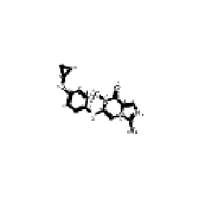 CC(C)c1ncc2c(=O)n(C)c(Oc3ccc(OC4CC4)cc3)cn12